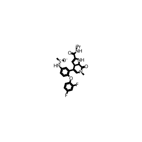 CC(C)NC(=O)C1=CC2C(c3cc(N[S+](C)[O-])ccc3Oc3ccc(F)cc3F)=CN(C)C(=O)C2N1